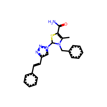 CC1=C(C(N)=O)SC(n2cc(C=Cc3ccccc3)nn2)N1Cc1ccccc1